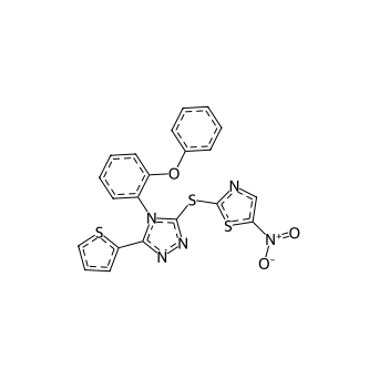 O=[N+]([O-])c1cnc(Sc2nnc(-c3cccs3)n2-c2ccccc2Oc2ccccc2)s1